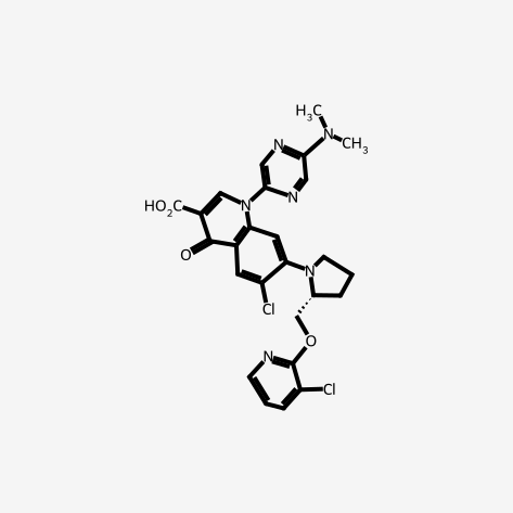 CN(C)c1cnc(-n2cc(C(=O)O)c(=O)c3cc(Cl)c(N4CCC[C@@H]4COc4ncccc4Cl)cc32)cn1